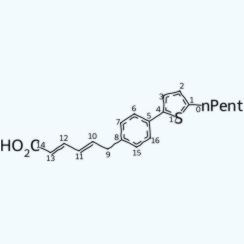 CCCCCc1ccc(-c2ccc(C/C=C/C=C/C(=O)O)cc2)s1